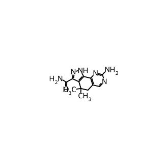 CC1(C)Cc2cnc(N)nc2-c2[nH]nc(C(N)=O)c21